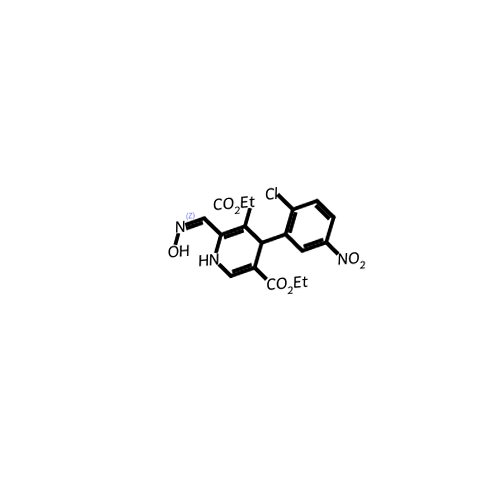 CCOC(=O)C1=CNC(/C=N\O)=C(C(=O)OCC)C1c1cc([N+](=O)[O-])ccc1Cl